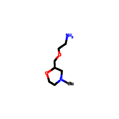 CC(C)(C)N1CCOC(COCCN)C1